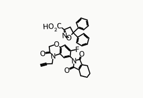 C#CCN1C(=O)COc2cc(F)c(N3C(=O)C4=C(CCCC4)C3=O)cc21.O=C(O)C1=NOC(c2ccccc2)(c2ccccc2)C1